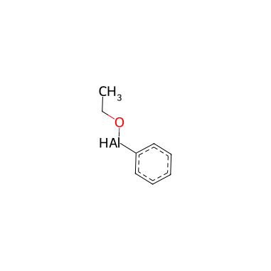 CC[O][AlH][c]1ccccc1